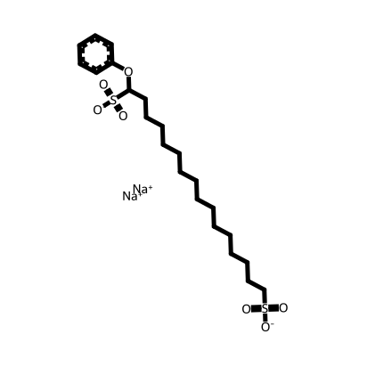 O=S(=O)([O-])CCCCCCCCCCCCCCCC(Oc1ccccc1)S(=O)(=O)[O-].[Na+].[Na+]